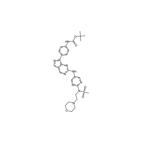 CC(C)(C)OC(=O)Nc1ccc(-n2ncc3cnc(Nc4cnc(N(CCN5CCOCC5)S(C)(=O)=O)nc4)nc32)cc1